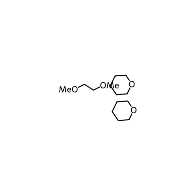 C1CCOCC1.C1CCOCC1.COCCOC